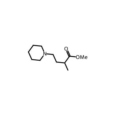 COC(=O)C(C)CCN1CCCCC1